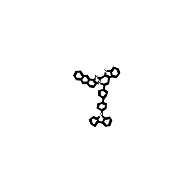 c1ccc2cc3c(ccc4c3nc3c5sc6ccccc6c5cc(-c5ccc(-c6ccc(-n7c8ccccc8c8ccccc87)cc6)cc5)n43)cc2c1